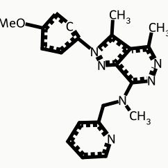 COc1ccc(-n2nc3c(N(C)Cc4ccccn4)nnc(C)c3c2C)cc1